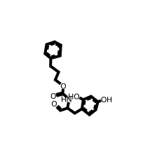 O=CC(Cc1ccc(O)cc1O)NC(=O)OCCCc1ccccc1